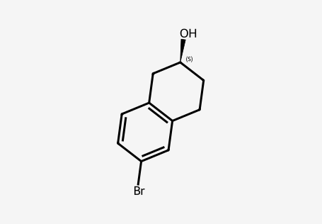 O[C@H]1CCc2cc(Br)ccc2C1